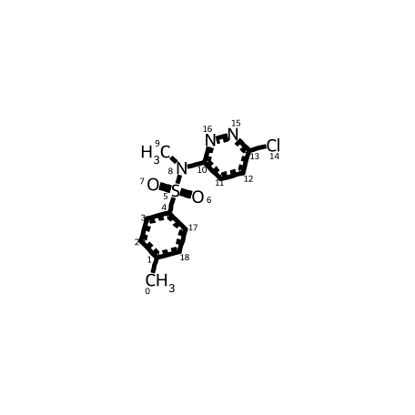 Cc1ccc(S(=O)(=O)N(C)c2ccc(Cl)nn2)cc1